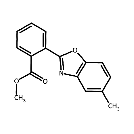 COC(=O)c1ccccc1-c1nc2cc(C)ccc2o1